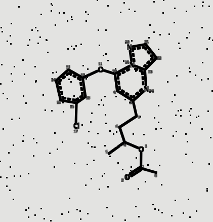 CC(=O)OC(C)CCc1cc(Oc2cccc(Cl)c2)n2nccc2n1